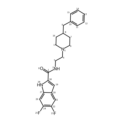 O=C(NCCN1CCC(Cc2ccccc2)CC1)c1cc2cc(F)c(F)cc2[nH]1